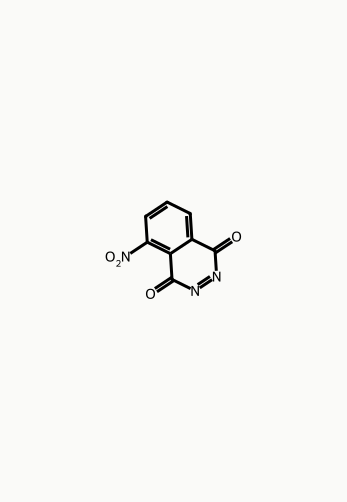 O=C1N=NC(=O)c2c1cccc2[N+](=O)[O-]